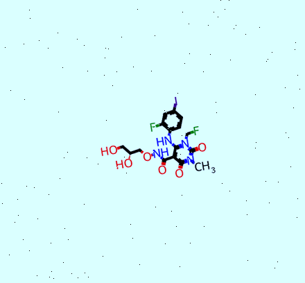 Cn1c(=O)c(C(=O)NOC[C@H](O)CO)c(Nc2ccc(I)cc2F)n(CF)c1=O